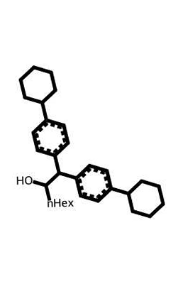 CCCCCCC(O)C(c1ccc(C2CCCCC2)cc1)c1ccc(C2CCCCC2)cc1